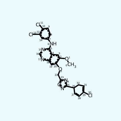 COc1cc2c(Nc3ccc(Cl)c(Cl)c3)ncnc2cc1OCc1nc(C2C=CC(Cl)=CC2)no1